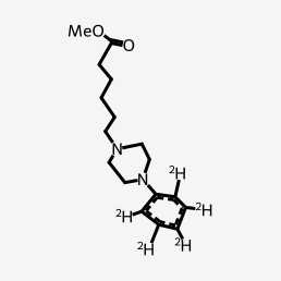 [2H]c1c([2H])c([2H])c(N2CCN(CCCCCC(=O)OC)CC2)c([2H])c1[2H]